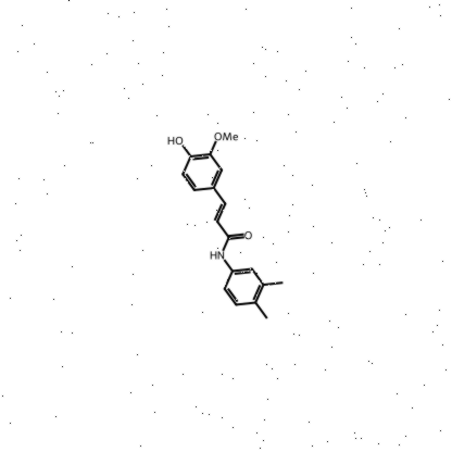 COc1cc(/C=C/C(=O)Nc2ccc(C)c(C)c2)ccc1O